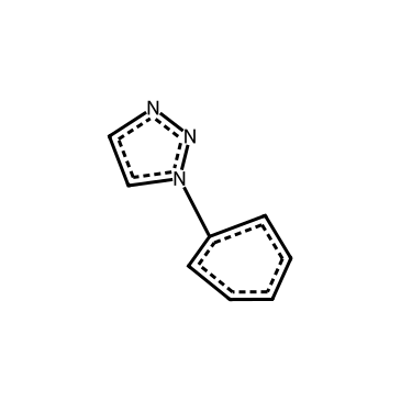 c1ccc(-n2ccnn2)cc1